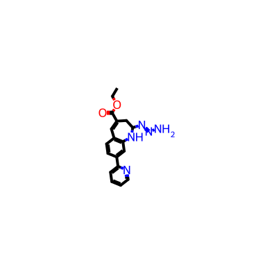 CCOC(=O)C1=Cc2ccc(-c3ccccn3)cc2NC(N=NN)C1